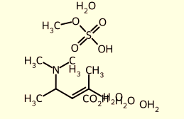 CC(=CC(C)N(C)C)C(=O)O.COS(=O)(=O)O.O.O.O.O